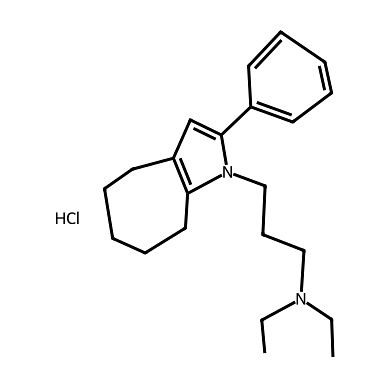 CCN(CC)CCCn1c(-c2ccccc2)cc2c1CCCCC2.Cl